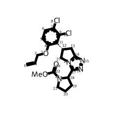 C=CCOc1ccc(Cl)c(Cl)c1[C@@H]1Cc2nnc(C3CCCN3C(=O)OC)n2C1